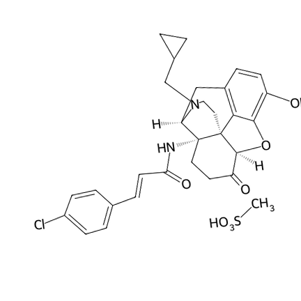 CS(=O)(=O)O.O=C(/C=C/c1ccc(Cl)cc1)N[C@@]12CCC(=O)[C@@H]3Oc4c(O)ccc5c4[C@@]31CCN(CC1CC1)[C@@H]2C5